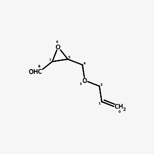 C=CCOCC1OC1C=O